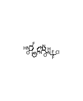 O=C(NCC(F)(F)CCl)c1cnn2ccc(N3CCC[C@@H]3c3cc(F)c[nH]c3=O)nc12